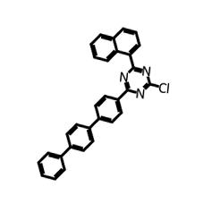 Clc1nc(-c2ccc(-c3ccc(-c4ccccc4)cc3)cc2)nc(-c2cccc3ccccc23)n1